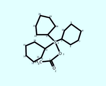 CC(=O)OS(C1CCCCC1)(C1CCCCC1)C1CCCCC1